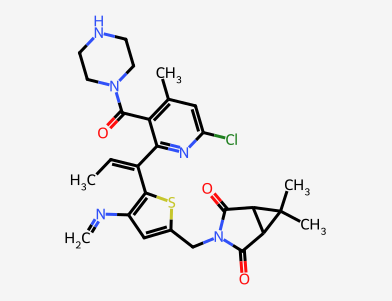 C=Nc1cc(CN2C(=O)C3C(C2=O)C3(C)C)sc1/C(=C\C)c1nc(Cl)cc(C)c1C(=O)N1CCNCC1